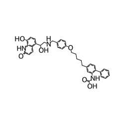 O=C(O)Nc1cc(CCCCCOc2ccc(CNC[C@@H](O)c3ccc(O)c4[nH]c(=O)ccc34)cc2)ccc1-c1ccccc1